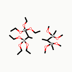 CCO[Si](OCC)(OCC)C(C)[Si](OCC)(OCC)OCC.CO[Si](C)(OC)C(C)[Si](C)(OC)OC